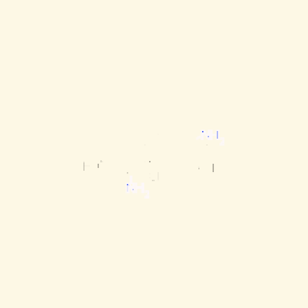 Cc1cc(C2(C)c3ccccc3C(C)C2N)ccc1N